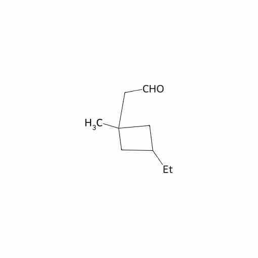 CCC1CC(C)(CC=O)C1